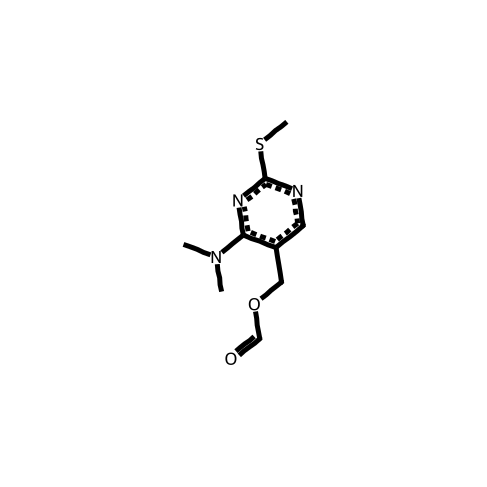 CSc1ncc(COC=O)c(N(C)C)n1